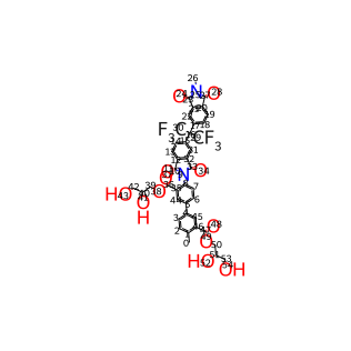 Cc1ccc(-c2ccc(N3C(=O)c4ccc(C(c5ccc6c(c5)C(=O)N(C)C6=O)(C(F)(F)F)C(F)(F)F)cc4C3=O)c(C(=O)OCC(O)CO)c2)cc1C(=O)OCC(O)CO